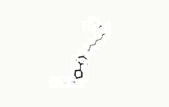 CCCCCCCCOc1ccc(-c2ncc(OCCCCCC(C)OC(=O)CCC)cn2)cc1